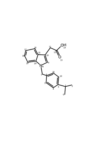 CC(C)c1ccc(Cn2cc(CC(=O)O)c3ccccc32)cc1